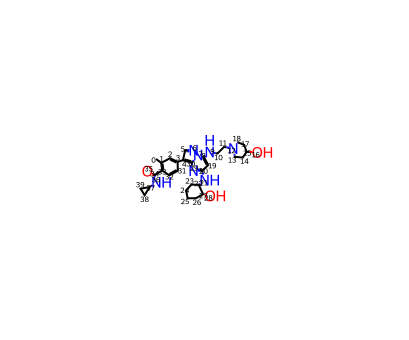 Cc1cc(-c2cnn3c(NCCN4CCC(O)CC4)cc(N[C@H]4CCCC[C@H]4O)nc23)ccc1C(=O)NC1CC1